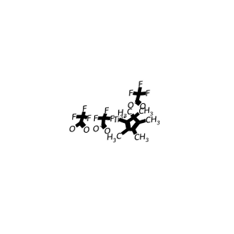 CC1=C(C)C(C)(C)[C]([Ti+3])=C1C.O=C([O-])C(F)(F)F.O=C([O-])C(F)(F)F.O=C([O-])C(F)(F)F